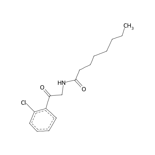 CCCCCCCC(=O)NCC(=O)c1ccccc1Cl